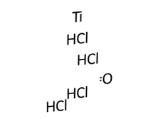 Cl.Cl.Cl.Cl.[O].[Ti]